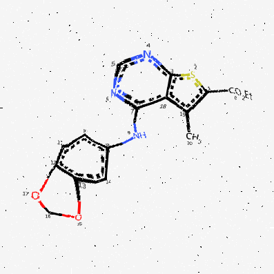 CCOC(=O)c1sc2ncnc(Nc3ccc4c(c3)OCO4)c2c1C